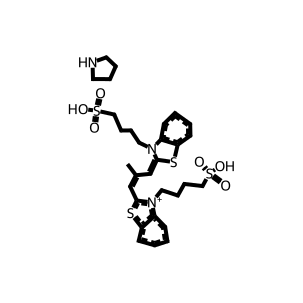 C1CCNC1.CC(=Cc1sc2ccccc2[n+]1CCCCS(=O)(=O)O)C=C1Sc2ccccc2N1CCCCS(=O)(=O)O